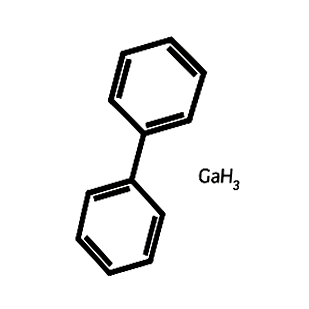 [GaH3].c1ccc(-c2ccccc2)cc1